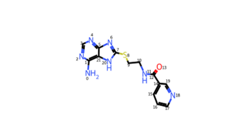 Nc1ncnc2nc(SCCNC(=O)c3cccnc3)[nH]c12